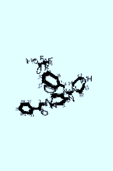 O=C(Cn1ncc2nc(N3CCNCC3)n(Cc3ccccc3)c2c1=O)c1ccccc1.O=C(O)C(F)(F)F